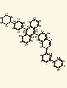 C1=CC(c2cccc(-c3ccccn3)n2)Cc2cc(-c3c4ccccc4c(-c4ccc(C5CCCCC5)cc4)c4ccccc34)ccc21